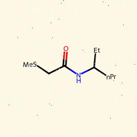 CCCC(CC)NC(=O)CSC